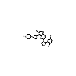 Fc1ccc(F)c(C2CCCN2c2ccc3ncc(F)c(-c4cnn(C5CCNCC5)c4)c3n2)c1